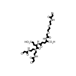 O=C(O)CCC(NC(=O)CCC(NC(=O)COCCOCCNC(=O)CBr)C(=O)O)C(=O)N(CCNC(=O)CCl)CCNC(=O)CCl